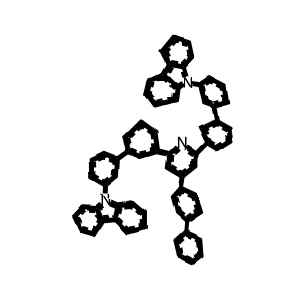 c1ccc(-c2ccc(-c3cc(-c4cccc(-c5cccc(-n6c7ccccc7c7ccccc76)c5)c4)nc(-c4cccc(-c5cccc(-n6c7ccccc7c7ccccc76)c5)c4)c3)cc2)cc1